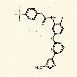 Cn1cnc(-c2ccnc(Oc3ccc(F)c(NC(=O)Nc4ccc(C(F)(F)F)cc4)c3)n2)c1